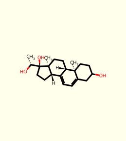 C[C@@H](O)[C@@]1(O)CC[C@H]2C3=CC=C4CC(O)CC[C@]4(C)[C@H]3CC[C@@]21C